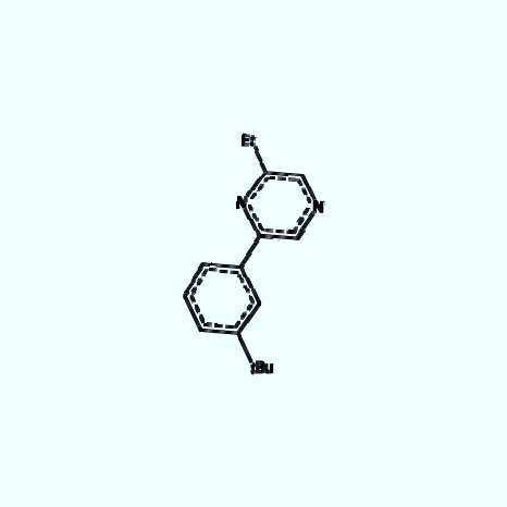 CCc1cncc(-c2cccc(C(C)(C)C)c2)n1